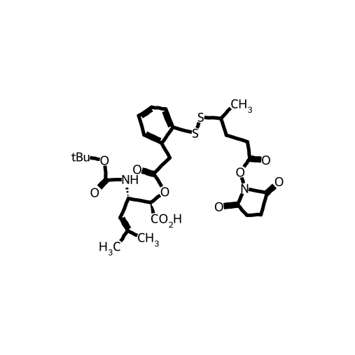 CC(C)=C[C@H](NC(=O)OC(C)(C)C)[C@@H](OC(=O)Cc1ccccc1SSC(C)CCC(=O)ON1C(=O)CCC1=O)C(=O)O